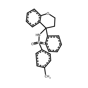 Cc1ccc(S(=O)(=O)NC2(c3ccccc3)CCOc3ccccc32)cc1